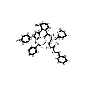 O=C(N[C@H](COCc1ccccc1)[C@@H](Cc1ccccn1)NC(=O)c1cccc(F)c1-c1cc(-c2ccc(F)cc2)[nH]n1)OCc1ccccc1